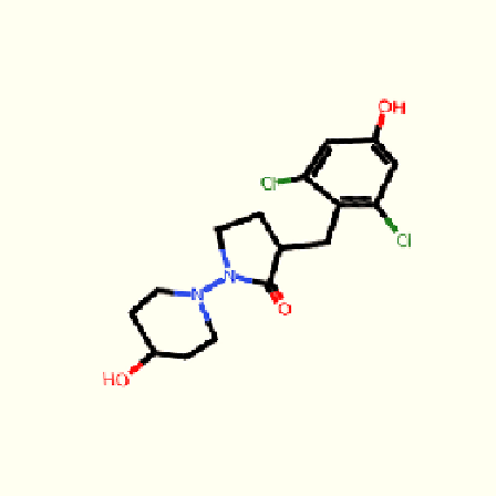 O=C1C(Cc2c(Cl)cc(O)cc2Cl)CCN1N1CCC(O)CC1